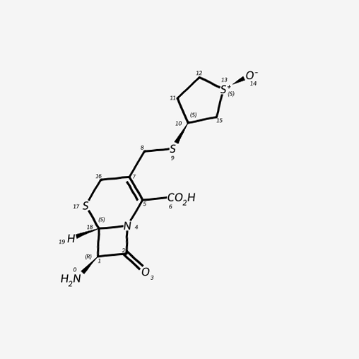 N[C@@H]1C(=O)N2C(C(=O)O)=C(CS[C@H]3CC[S@@+]([O-])C3)CS[C@@H]12